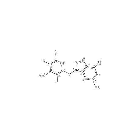 COc1c(C)c(Cl)nc(Cn2cnc3c(Cl)nc(N)nc32)c1C